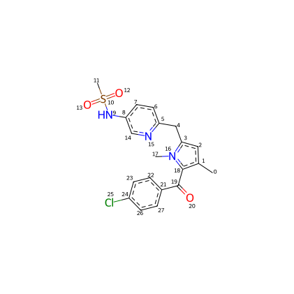 Cc1cc(Cc2ccc(NS(C)(=O)=O)cn2)n(C)c1C(=O)c1ccc(Cl)cc1